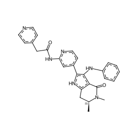 C[C@H]1Cc2[nH]c(-c3ccnc(NC(=O)Cc4ccncc4)c3)c(Nc3ccccc3)c2C(=O)N1C